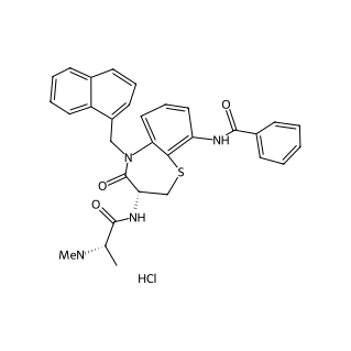 CN[C@@H](C)C(=O)N[C@H]1CSc2c(NC(=O)c3ccccc3)cccc2N(Cc2cccc3ccccc23)C1=O.Cl